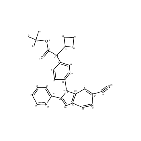 CC(C)(C)OC(=O)N(c1ccc(-n2c(-c3ccccn3)cc3cnc(C#N)nc32)cc1)C1CCC1